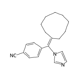 N#Cc1ccc(C(=C2CCCCCCCC2)n2ccnc2)cc1